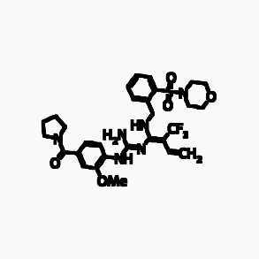 C=C/C(=C(\N=C(/N)Nc1ccc(C(=O)N2CCCC2)cc1OC)NCc1ccccc1S(=O)(=O)N1CCOCC1)C(F)(F)F